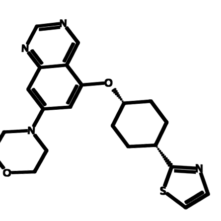 c1ncc2c(O[C@H]3CC[C@@H](c4nccs4)CC3)cc(N3CCOCC3)cc2n1